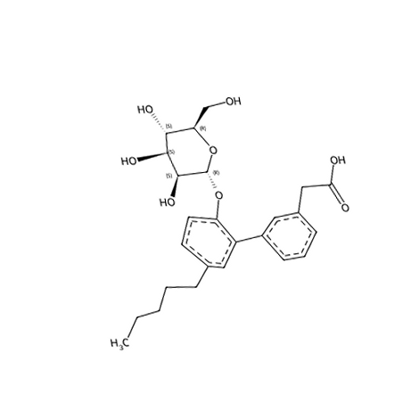 CCCCCc1ccc(O[C@H]2O[C@H](CO)[C@@H](O)[C@H](O)[C@@H]2O)c(-c2cccc(CC(=O)O)c2)c1